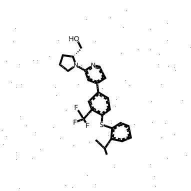 CC(C)c1ccccc1Sc1ccc(-c2ccnc(N3CCC[C@@H]3CO)c2)cc1C(F)(F)F